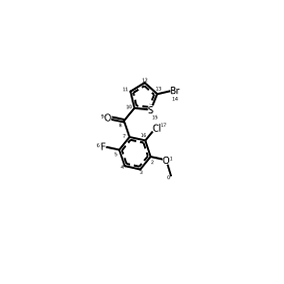 COc1ccc(F)c(C(=O)c2ccc(Br)s2)c1Cl